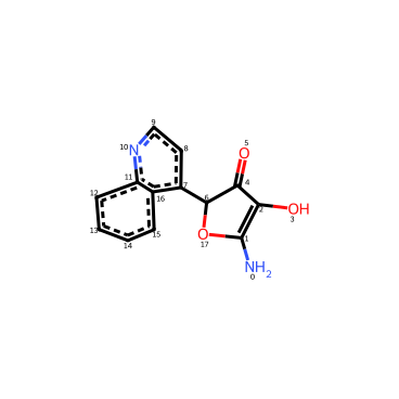 NC1=C(O)C(=O)C(c2ccnc3ccccc23)O1